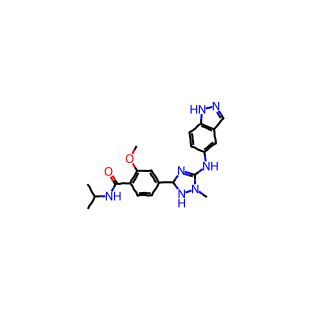 COc1cc(C2N=C(Nc3ccc4[nH]ncc4c3)N(C)N2)ccc1C(=O)NC(C)C